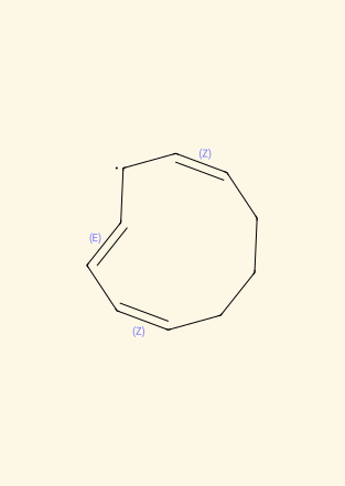 [CH]1/C=C\CCC/C=C\C=C\1